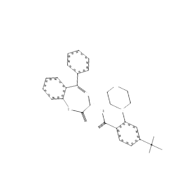 O=C(N[C@H]1N=C(c2ccccc2)c2ccccc2NC1=O)c1ccc(C(F)(F)F)cc1N1CCOCC1